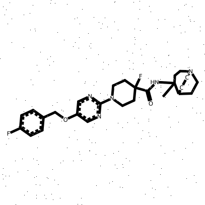 CC1(NC(=O)C2(F)CCN(c3ncc(OCc4ccc(F)cc4)cn3)CC2)CCN2CCC1CC2